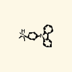 C[SH](C)(C)(C)c1ccc(-n2c3ccccc3c3ccccc32)cc1